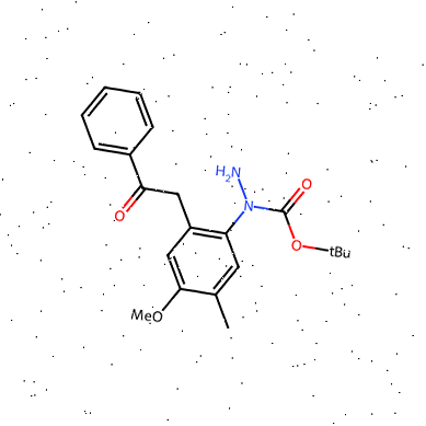 COc1cc(CC(=O)c2ccccc2)c(N(N)C(=O)OC(C)(C)C)cc1C